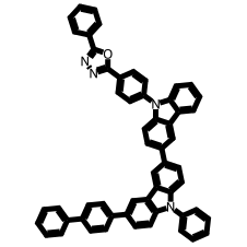 c1ccc(-c2ccc(-c3ccc4c(c3)c3cc(-c5ccc6c(c5)c5ccccc5n6-c5ccc(-c6nnc(-c7ccccc7)o6)cc5)ccc3n4-c3ccccc3)cc2)cc1